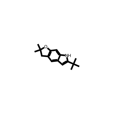 CC1(C)Cc2cc3cc(C(C)(C)C)[nH]c3cc2O1